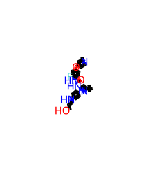 Cc1cc(Oc2ccc(NC(=O)Nc3cc(C(C)(C)C)nn3-c3ccc(NCCCO)cc3)c(F)c2)ccn1